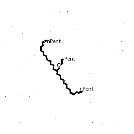 CCCCC/C=C\C/C=C\CCCCCCCCC(CCCCCCCC/C=C\C/C=C\CCCCC)CO/C=C/C(C)CCC